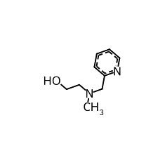 CN(CCO)Cc1ccccn1